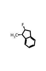 C[C@@H]1c2ccccc2C[C@@H]1F